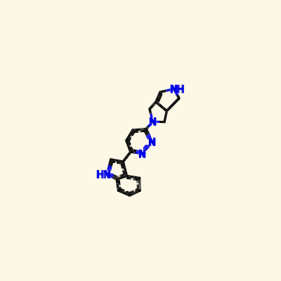 C1=C2CN(c3ccc(-c4c[nH]c5ccccc45)nn3)CC2CN1